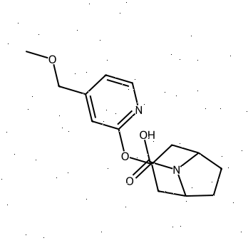 COCc1ccnc(OC2CC3CCC(C2)N3C(=O)O)c1